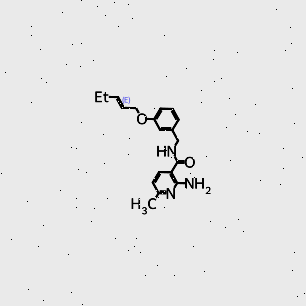 CC/C=C/COc1cccc(CNC(=O)c2ccc(C)nc2N)c1